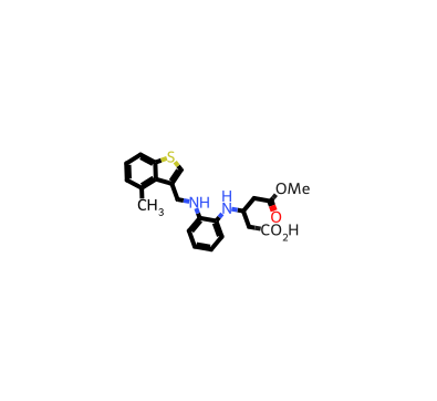 COC(=O)CC(CC(=O)O)Nc1ccccc1NCc1csc2cccc(C)c12